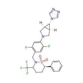 O=S1(=O)[C@@H](c2ccccc2)CCC(C(F)(F)F)N1Cc1cc(F)c(N2C[C@@H]3[C@H](C2)[C@H]3n2cnnc2)cc1F